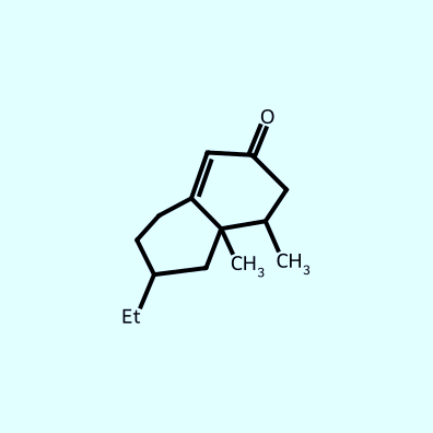 CCC1CCC2=CC(=O)CC(C)C2(C)C1